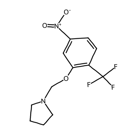 O=[N+]([O-])c1ccc(C(F)(F)F)c(OCN2CCCC2)c1